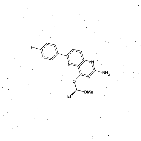 CC[C@H](OC)Oc1nc(N)nc2ccc(-c3ccc(F)cc3)nc12